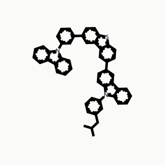 CC(C)Cc1cccc(-n2c3ccccc3c3cc(-c4ccc5sc6ccc(-c7cccc(-n8c9ccccc9c9ccccc98)c7)cc6c5c4)ccc32)c1